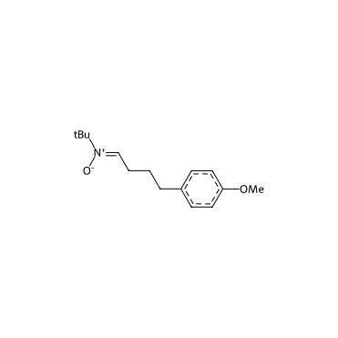 COc1ccc(CCCC=[N+]([O-])C(C)(C)C)cc1